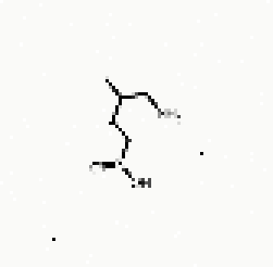 CC(CN)CCS(=O)O